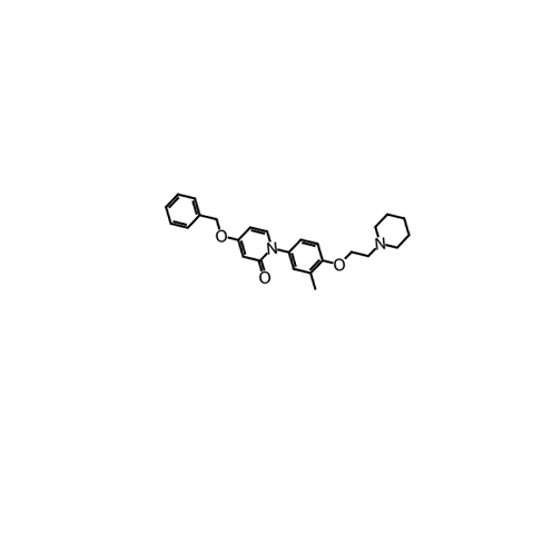 Cc1cc(-n2ccc(OCc3ccccc3)cc2=O)ccc1OCCN1CCCCC1